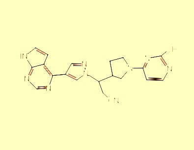 N#CCC(C1CCN(c2ccnc(S)n2)C1)n1cc(-c2ncnc3[nH]ccc23)cn1